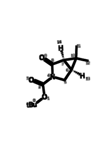 CC(C)(C)OC(=O)N1C[C@H]2[C@@H](C1=O)C2(C)C